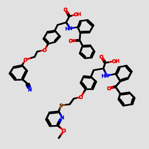 COc1cccc(SCCOc2ccc(CC(Nc3ccccc3C(=O)c3ccccc3)C(=O)O)cc2)n1.N#Cc1cccc(OCCOc2ccc(CC(Nc3ccccc3C(=O)c3ccccc3)C(=O)O)cc2)c1